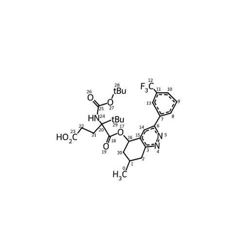 CC1Cc2nnc(-c3cccc(C(F)(F)F)c3)cc2C(OC(=O)C(CCC(=O)O)(NC(=O)OC(C)(C)C)C(C)(C)C)C1